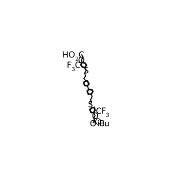 CCC(C)OC(=O)COc1ccc(SCCCc2ccc(-c3ccc(CCCSc4ccc(OCC(=O)O)c(C(F)(F)F)c4)cc3)cc2)cc1C(F)(F)F